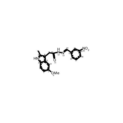 COc1ccc2[nH]c(C)c(CC(=O)NN=Cc3cccc([N+](=O)[O-])c3)c2c1